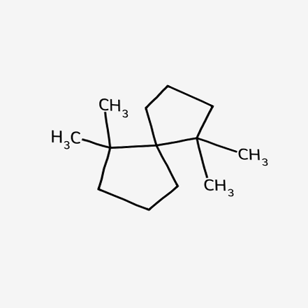 CC1(C)CCCC12CCCC2(C)C